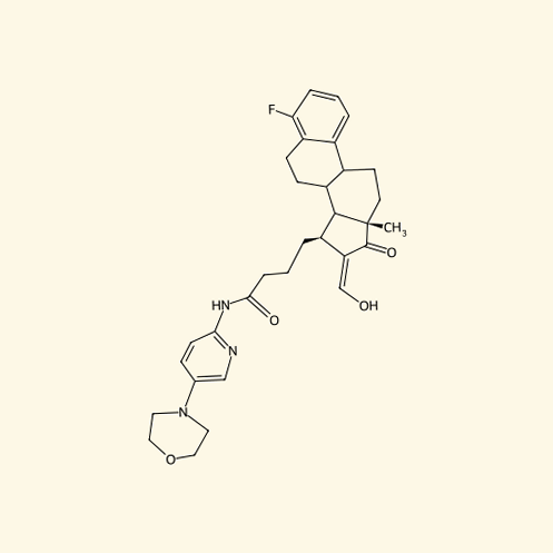 C[C@]12CCC3c4cccc(F)c4CCC3C1[C@H](CCCC(=O)Nc1ccc(N3CCOCC3)cn1)/C(=C/O)C2=O